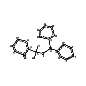 CC(C)(OB(c1ccccc1)c1ccccc1)c1ccccn1